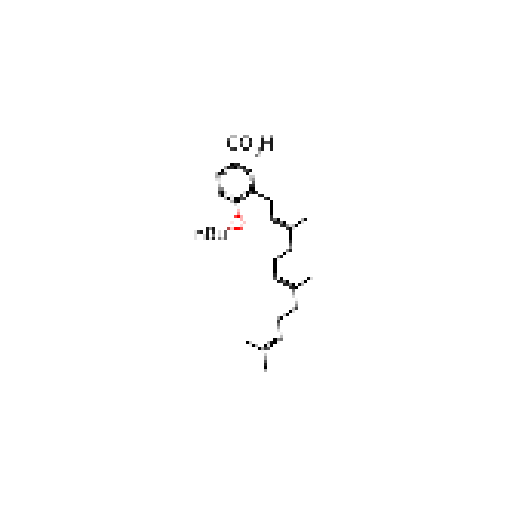 CCCCOc1ccc(C(=O)O)cc1C/C=C(\C)CC/C=C(\C)CCC=C(C)C